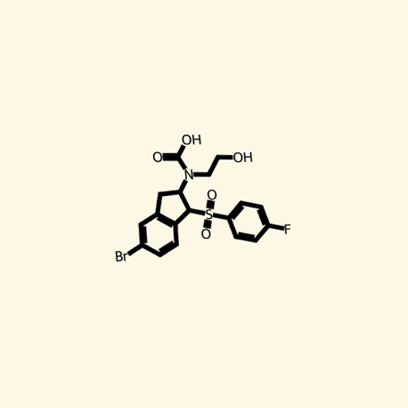 O=C(O)N(CCO)C1Cc2cc(Br)ccc2C1S(=O)(=O)c1ccc(F)cc1